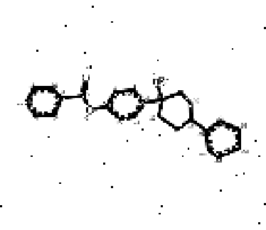 CCCC1(c2ccc(OC(=O)c3ccccc3)cc2)CCC(c2ccccc2)CC1